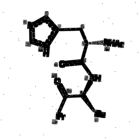 CC[C@H](C)[C@H](NC(=O)[C@H](Cc1cnc[nH]1)NC(C)=O)C(=O)C(C)C